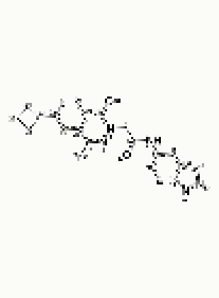 CC(C)c1nn(CC(=O)Nc2ccc3nncn3c2)c(=O)c2ccc(C3CCC3)cc12